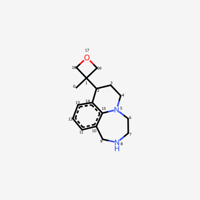 CC1(C2CCN3CCNCc4cccc2c43)COC1